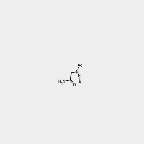 C=NN(CC(N)=O)C(C)=O